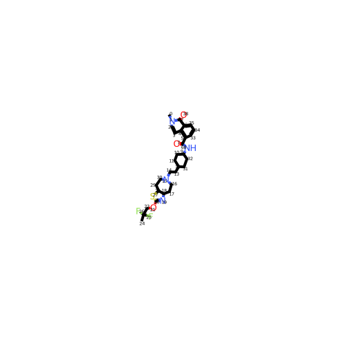 Cn1ccc2c(C(=O)NC3CCC(CCN4CCC5N=C(OCC(C)(F)F)SC5CC4)CC3)cccc2c1=O